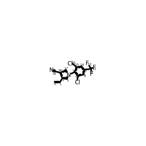 C=Cc1cn(-c2c(Cl)cc(C(F)(F)F)cc2Cl)cc1C#N